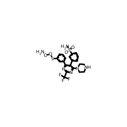 NOOSc1cccc(-c2nc(C(F)(F)F)nc(N3CCNCC3)c2-c2cccc(S(N)(=O)=O)c2)c1